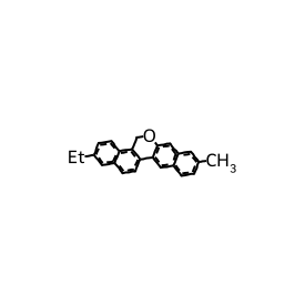 CCc1ccc2c3c(ccc2c1)-c1cc2ccc(C)cc2cc1OC3